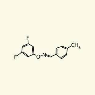 Cc1ccc(/C=N/Oc2cc(F)cc(F)c2)cc1